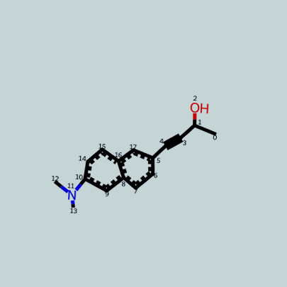 CC(O)C#Cc1ccc2cc(N(C)C)ccc2c1